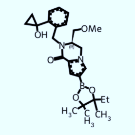 CCC1(C)OB(c2cc3n(c2)C[C@H](COC)N(Cc2ccccc2C2(O)CC2)C3=O)OC1(C)C